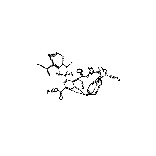 CC(C)c1cccc(C(C)C)c1NC(=N)c1cc(C(=O)O)c2c3ccc(C(N)=O)c4c5ccc(c6ccc(c(=O)[nH]c5=O)c1c62)c34